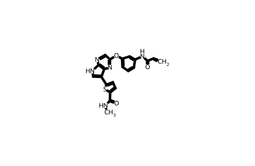 C=CC(=O)Nc1cccc(Oc2cnc3[nH]cc(-c4ccc(C(=O)NC)s4)c3n2)c1